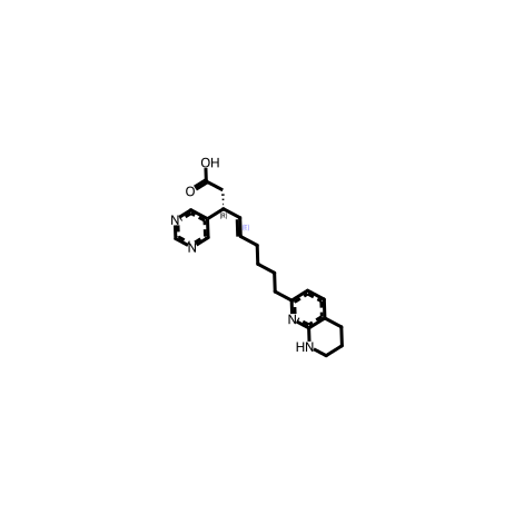 O=C(O)C[C@H](/C=C/CCCCc1ccc2c(n1)NCCC2)c1cncnc1